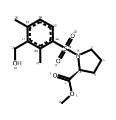 COC(=O)[C@@H]1CCCN1S(=O)(=O)c1ccc(C)c(CO)c1C